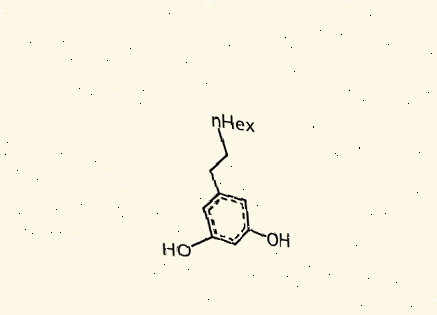 CCCCCCCCc1cc(O)cc(O)c1